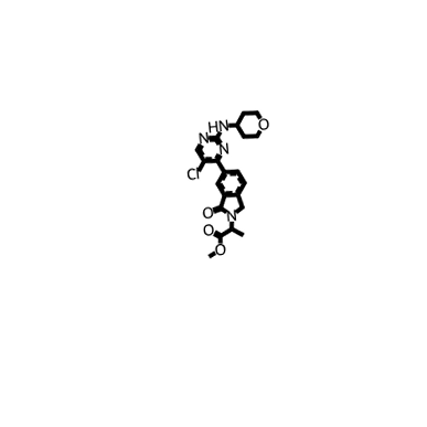 COC(=O)C(C)N1Cc2ccc(-c3nc(NC4CCOCC4)ncc3Cl)cc2C1=O